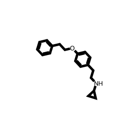 c1ccc(CCOc2ccc(CCNC3CC3)cc2)cc1